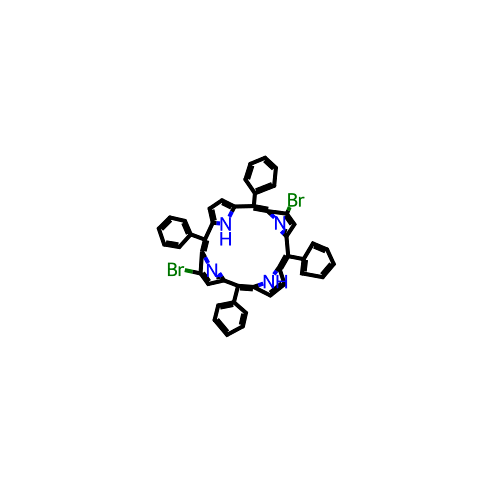 BrC1=Cc2nc1c(-c1ccccc1)c1ccc([nH]1)c(-c1ccccc1)c1nc(c(-c3ccccc3)c3ccc([nH]3)c2-c2ccccc2)C=C1Br